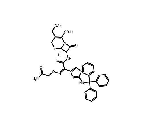 CC(=O)OCC1=C(C(=O)O)N2C(=O)[C@@H](NC(=O)/C(=N\OCC(N)=O)c3csc(NC(c4ccccc4)(c4ccccc4)c4ccccc4)n3)[C@H]2SC1